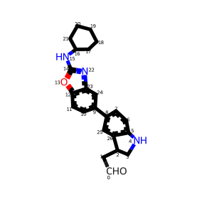 O=CCC1CNc2ccc(-c3ccc4oc(NC5CCCCC5)nc4c3)cc21